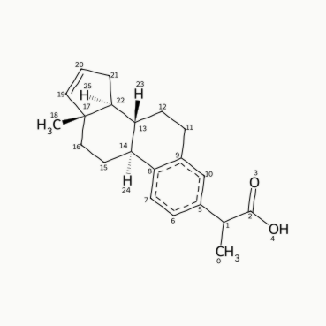 CC(C(=O)O)c1ccc2c(c1)CC[C@@H]1[C@@H]2CC[C@]2(C)C=CC[C@@H]12